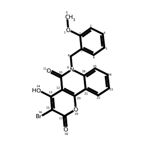 COc1ccccc1Cn1c(=O)c2c(O)c(Br)c(=O)oc2c2ccccc21